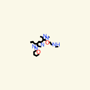 C=Cc1nn(C2CCCCO2)c2cnc(-c3c(C)nn(C)c3OCCNCC)cc12